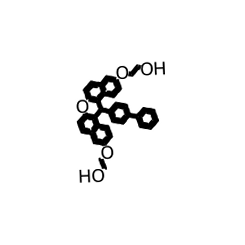 OCCOc1ccc2c3c(ccc2c1)Oc1ccc2cc(OCCO)ccc2c1C3c1ccc(-c2ccccc2)cc1